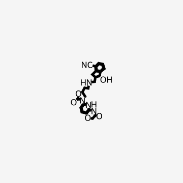 N#Cc1cccc2c1CC(CNCCC1CN(c3ccc4c(n3)NC(=O)CO4)C(=O)O1)C2O